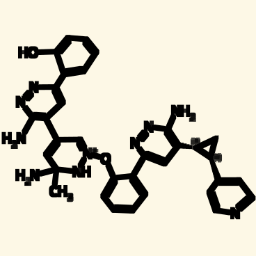 CC1(N)C=C(c2cc(-c3ccccc3O)nnc2N)C=[N+](Oc2ccccc2-c2cc([C@@H]3C[C@H]3c3ccncc3)c(N)nn2)N1